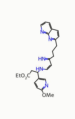 CCOC(=O)CC(N/C=C\C(=N)CCCc1ccc2cccnc2n1)c1ccc(OC)nc1